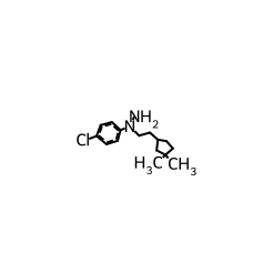 CC1(C)CCC(CCN(N)c2ccc(Cl)cc2)C1